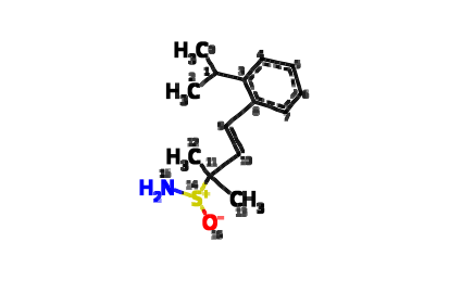 CC(C)c1ccccc1C=CC(C)(C)[S+](N)[O-]